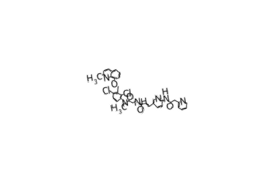 Cc1ccc2cccc(OCc3c(Cl)ccc(N(C)C(=O)CNC(=O)C=Cc4ccc(NC(=O)Cc5ccccn5)nc4)c3Cl)c2n1